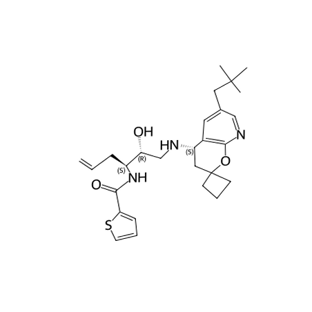 C=CC[C@H](NC(=O)c1cccs1)[C@H](O)CN[C@H]1CC2(CCC2)Oc2ncc(CC(C)(C)C)cc21